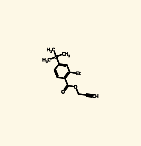 C#CCOC(=O)c1ccc([Si](C)(C)C)cc1CC